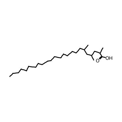 CCCCCCCCCCCCCCCCCCC(C)CC(C)CC(C)C(=O)O